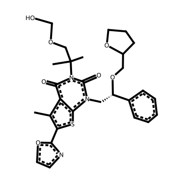 Cc1c(-c2ncco2)sc2c1c(=O)n(C(C)(C)COCO)c(=O)n2C[C@H](OCC1CCCO1)c1ccccc1